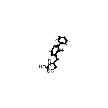 O=CC(Cc1cccc(-c2ccccc2)c1F)NC(=O)O